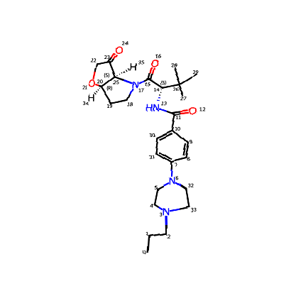 CCCN1CCN(c2ccc(C(=O)N[C@H](C(=O)N3CC[C@H]4OCC(=O)[C@H]43)C(C)(C)C)cc2)CC1